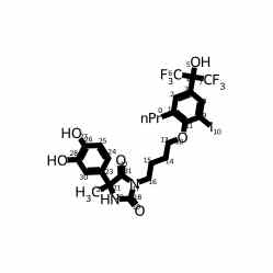 CCCc1cc(C(O)(C(F)(F)F)C(F)(F)F)cc(I)c1OCCCCN1C(=O)NC(C)(c2ccc(O)c(O)c2)C1=O